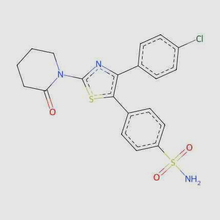 NS(=O)(=O)c1ccc(-c2sc(N3CCCCC3=O)nc2-c2ccc(Cl)cc2)cc1